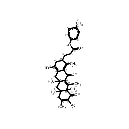 CC(=O)C1=C(C)CC2(C)CC3(C)CC4=C(C(C)C)CC(CCC(=O)Oc5ccc(C)cc5)C(C)=C4C(=O)C3=C(C)C2(C)C1=O